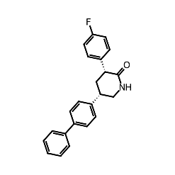 O=C1NC[C@H](c2ccc(-c3ccccc3)cc2)C[C@@H]1c1ccc(F)cc1